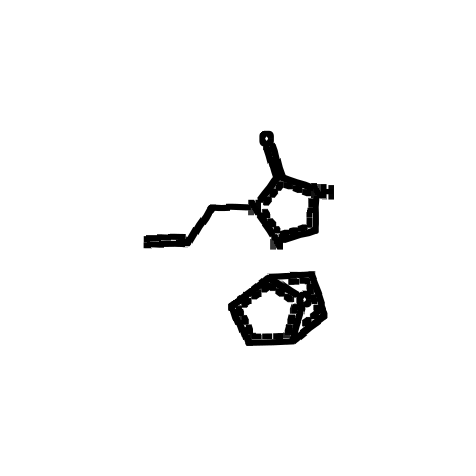 C=CCn1nc[nH]c1=O.c1cc2ccc1o2